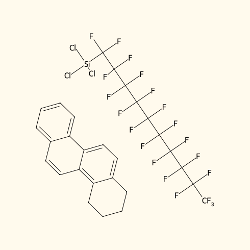 FC(F)(F)C(F)(F)C(F)(F)C(F)(F)C(F)(F)C(F)(F)C(F)(F)C(F)(F)C(F)(F)C(F)(F)[Si](Cl)(Cl)Cl.c1ccc2c(c1)ccc1c3c(ccc12)CCCC3